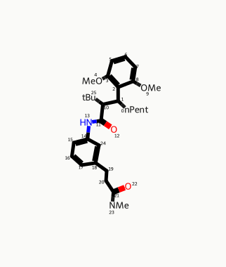 CCCCCC(c1c(OC)cccc1OC)C(C(=O)Nc1cccc(CCC(=O)NC)c1)C(C)(C)C